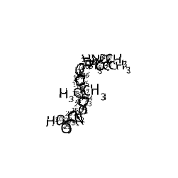 CC(C)(C)OC(=O)N[C@H]1C[C@H](Oc2ccc(C(C)(C)c3ccc(Oc4ccc(C(=O)O)cn4)cc3)cc2)C1